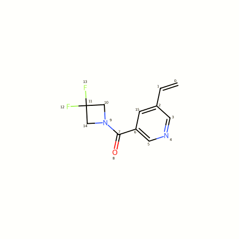 C=Cc1cncc(C(=O)N2CC(F)(F)C2)c1